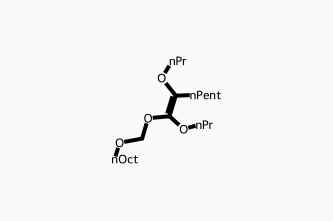 CCCCCCCCOCOC(OCCC)=C(CCCCC)OCCC